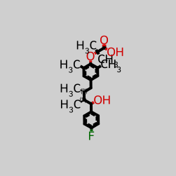 Cc1cc(C[C@@H](C)[C@H](C)C(O)c2ccc(F)cc2)cc(C)c1OC(C)(C)C(=O)O